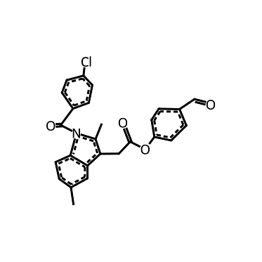 Cc1ccc2c(c1)c(CC(=O)Oc1ccc(C=O)cc1)c(C)n2C(=O)c1ccc(Cl)cc1